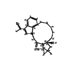 CC(=O)c1nn2c3c(cccc13)CCCCC[C@@H]1CC3(C)C[C@H]3N1C(=O)C2